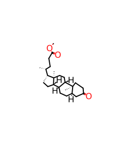 COC(=O)CC[C@@H](C)[C@H]1CC[C@H]2[C@@H]3CC[C@@H]4CC(=O)CC[C@]4(C)[C@H]3CC[C@]12C